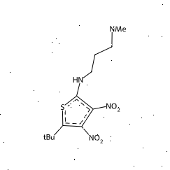 CNCCCNc1sc(C(C)(C)C)c([N+](=O)[O-])c1[N+](=O)[O-]